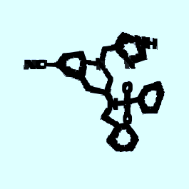 N#Cc1ccc2c(c1)CC(N(Cc1ccccc1)S(=O)(=O)c1ccccc1)CN2Cc1c[nH]cn1